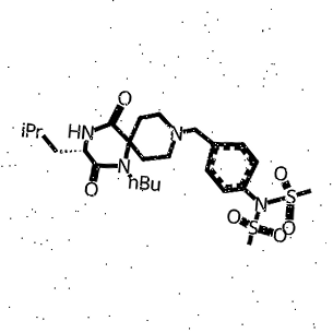 CCCCN1C(=O)[C@H](CC(C)C)NC(=O)C12CCN(Cc1ccc(N(S(C)(=O)=O)S(C)(=O)=O)cc1)CC2